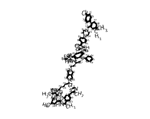 Cc1ncsc1-c1ccc([C@H](C)NC(=O)C2CC(O)CN2C(=O)[C@@H](NC(=O)CCCC(=O)N2CC3CN(CC[C@H](CSc4ccccc4)Nc4ccc(S(=O)(=O)NC(=O)c5ccc(N6CCN(CC7=C(c8ccc(Cl)cc8)CCC(C)(C)C7)CC6)cc5)cc4S(=O)(=O)C(F)(F)F)CC3C2)C(C)(C)C)cc1